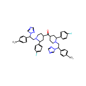 O=C(C1CCN(CC(c2ccc([N+](=O)[O-])cc2)n2cncn2)C(c2ccc(F)cc2)C1)C1CCN(CC(c2ccc([N+](=O)[O-])cc2)n2cncn2)C(c2ccc(F)cc2)C1